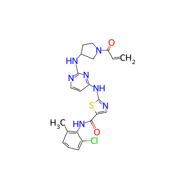 C=CC(=O)N1CCC(Nc2nccc(Nc3ncc(C(=O)Nc4c(C)cccc4Cl)s3)n2)C1